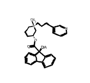 C[N+]1(CCCc2cccnc2)CCC[C@@H](OC(=O)C2(O)c3ccccc3-c3ccccc32)C1